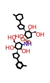 Cc1cccc(C2CCC([C@@H]3C(O)[C@H](NS(=O)(=O)C4C[C@H](CO)[C@H](O)[C@H](C5CCC(C6CCCC(C)C6)C5)[C@H]4O)C[C@H](CO)[C@@H]3O)C2)c1